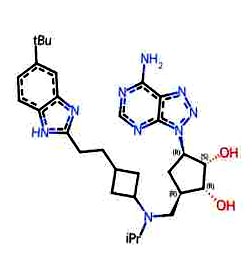 CC(C)N(C[C@H]1C[C@@H](n2nnc3c(N)ncnc32)[C@H](O)[C@@H]1O)C1CC(CCc2nc3cc(C(C)(C)C)ccc3[nH]2)C1